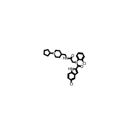 O=C(CN(C(=O)c1cc2cc(Cl)ccc2[nH]1)c1ccccc1Cl)NCC1CCN(C2CCCC2)CC1